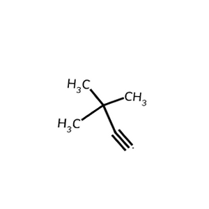 [C]#CC(C)(C)C